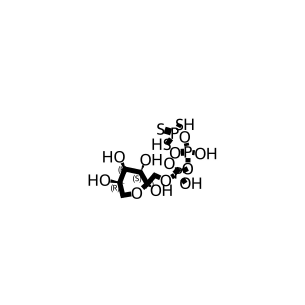 O=P(O)(OC[C@@]1(O)OC[C@@H](O)[C@@H](O)[C@@H]1O)OP(=O)(O)OP(=S)(S)S